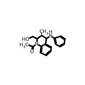 CC(=O)N1c2ccccc2C(Nc2ccccc2)[C@@H](C)C1CO